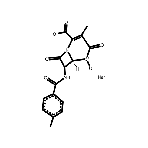 CC1=C(C(=O)[O-])N2C(=O)C(NC(=O)c3ccc(C)cc3)[C@@H]2[S+]([O-])C1=O.[Na+]